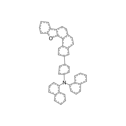 c1ccc2c(N(c3ccc(-c4ccc5c(ccc6ccc7c8ccccc8oc7c65)c4)cc3)c3cccc4ccccc34)cccc2c1